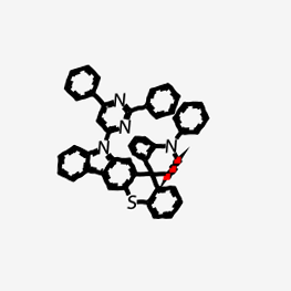 c1ccc(-c2cc(-n3c4ccccc4c4cc5c(cc43)C3(c4ccccc4S5)c4ccccc4N(c4ccccc4)c4ccccc43)nc(-c3ccccc3)n2)cc1